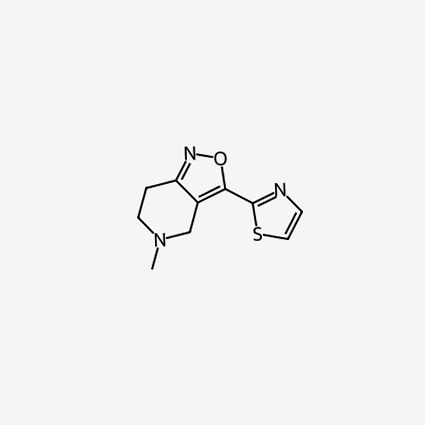 CN1CCc2noc(-c3nccs3)c2C1